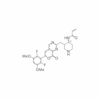 C=CC(=O)N[C@H]1CCNCC1Cc1ncc2cc(-c3c(F)c(OC)cc(OC)c3F)oc(=O)c2n1